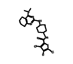 CN(C)c1nc(NC2CCC(NC(=O)c3sc(Cl)c(Cl)c3Cl)CC2)nc2c1CCCC2